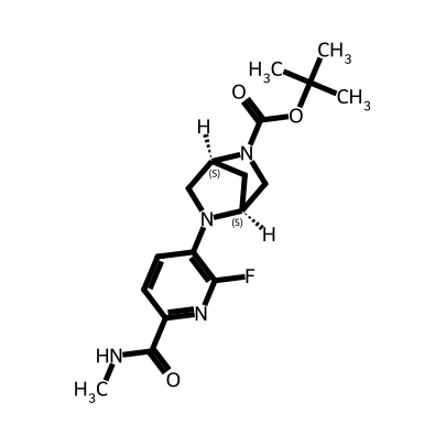 CNC(=O)c1ccc(N2C[C@@H]3C[C@H]2CN3C(=O)OC(C)(C)C)c(F)n1